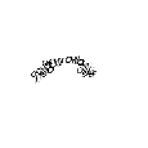 Cn1c(=O)n(C2CCC(=O)NC2=O)c2cccc(C3CCN(C[C@H]4CC[C@H](n5cc6cc(NC(=O)c7nc(C(F)(F)F)cs7)ccc6n5)CC4)CC3)c21